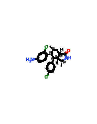 C[C@H]1C[C@H]2C(=O)N[C@H](C)[C@H]2[C@@H](c2ccc(Cl)cc2)[C@@H]1c1ccc(N)cc1Cl